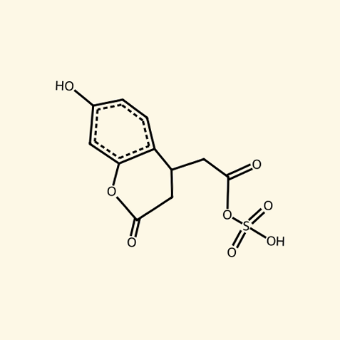 O=C1CC(CC(=O)OS(=O)(=O)O)c2ccc(O)cc2O1